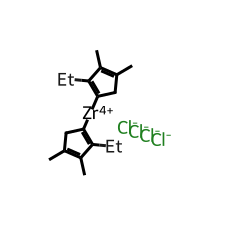 CCC1=[C]([Zr+4][C]2=C(CC)C(C)=C(C)C2)CC(C)=C1C.[Cl-].[Cl-].[Cl-].[Cl-]